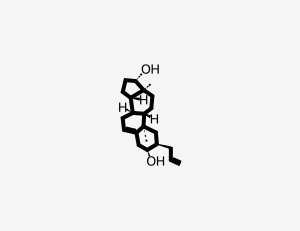 C=CC[C@@H]1C[C@@]2(C)C(=CC[C@H]3[C@@H]4CC[C@H](O)[C@@]4(C)CC[C@@H]32)C[C@H]1O